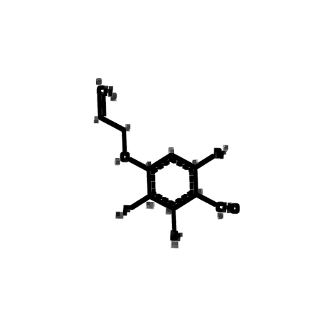 C=CCOc1cc(Br)c(C=O)c(Br)c1F